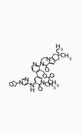 CC(=O)OCc1c(-c2cc(Nc3cn(C4COC4)cn3)c(=O)n(C)c2)ccnc1N1CCn2c(cc3c2CC(C)(C)C3)C1=O